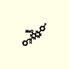 COc1nc(NCc2ccccc2)nc2nnc(-c3ccc(F)cc3)nc12